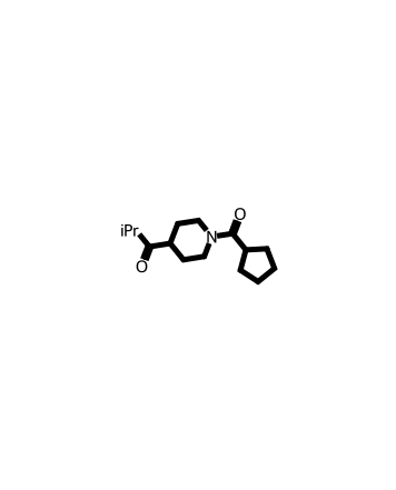 CC(C)C(=O)C1CCN(C(=O)C2CCCC2)CC1